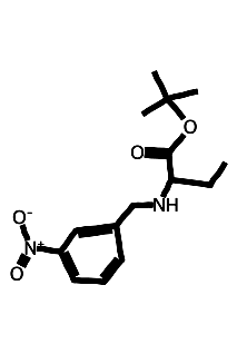 CCC(NCc1cccc([N+](=O)[O-])c1)C(=O)OC(C)(C)C